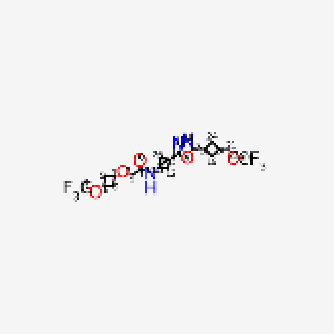 O=C(COC1CC(OC(F)(F)F)C1)NC12CC(c3nnc(C4CC(COC(F)(F)F)C4)o3)(C1)C2